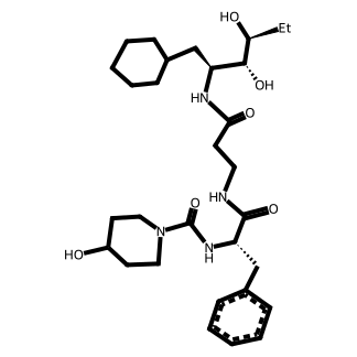 CC[C@H](O)[C@H](O)[C@H](CC1CCCCC1)NC(=O)CCNC(=O)[C@H](Cc1ccccc1)NC(=O)N1CCC(O)CC1